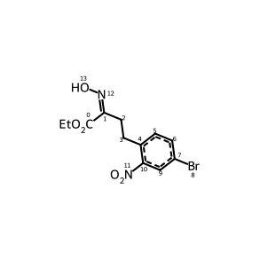 CCOC(=O)/C(CCc1ccc(Br)cc1[N+](=O)[O-])=N\O